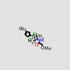 COCC(=O)N[Si](C)(C)[Ti]([Cl])([Cl])[C]1=CC(C(C)(C)C)=CC1